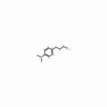 CB(C)c1ccc(CCCF)cc1